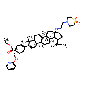 C=C(C)C1CC[C@]2(NCCN3CCS(=O)(=O)CC3)CC[C@]3(C)[C@H](CCC4[C@@]5(C)CC=C(C6=CC[C@](COc7ccccn7)(C(=O)OCC)CC6)C(C)(C)C5CC[C@]43C)C12